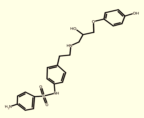 Nc1ccc(S(=O)(=O)Nc2ccc(CCNCC(O)COc3ccc(O)cc3)cc2)cc1